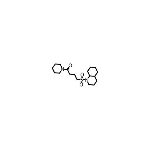 O=C(CCCS(=O)(=O)N1CCCC2CCCCC21)N1CCCCC1